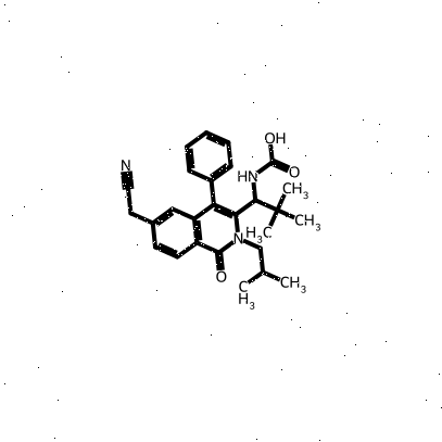 CC(C)Cn1c(C(NC(=O)O)C(C)(C)C)c(-c2ccccc2)c2cc(CC#N)ccc2c1=O